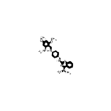 COc1cc(OC)c(CN[C@H]2CC[C@@H](CNc3nc(N(C)C)c4ccccc4n3)CC2)c(OC)c1